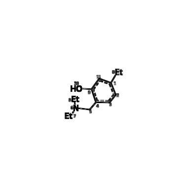 CCc1ccc(CN(CC)CC)c(O)c1